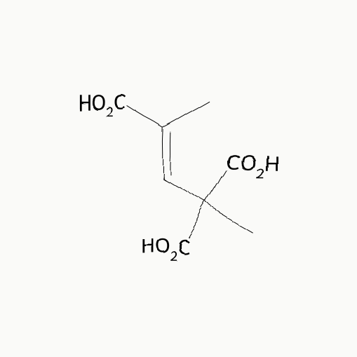 CC(=CC(C)(C(=O)O)C(=O)O)C(=O)O